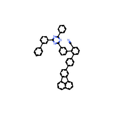 N#Cc1cccc(-c2ccc(-c3ccc4c(c3)-c3cccc5cccc-4c35)cc2)c1-c1cccc(-c2nc(-c3ccccc3)nc(-c3cccc(-c4ccccc4)c3)n2)c1